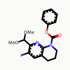 COC(OC)c1nc2c(cc1I)CCCN2C(=O)Oc1ccccc1